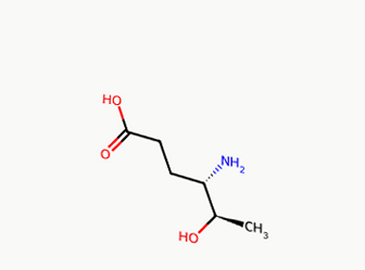 C[C@@H](O)[C@@H](N)CCC(=O)O